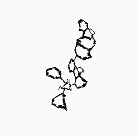 c1ccc(-c2nc(-c3ccccc3)nc(-c3cccc4oc5c(-c6ccc7cc8oc9ccccc9c8cc7c6)cccc5c34)n2)cc1